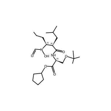 CCC[C@@H]([C@@H](CC(C)C)C(=O)N[C@@H](COC(C)(C)C)C(=O)OC1CCCC1)N(O)C=O